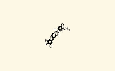 Cn1nc(NC(=O)N2CCC(F)(Cc3cc(F)c(F)c(Cl)c3)CC2)ccc1=O